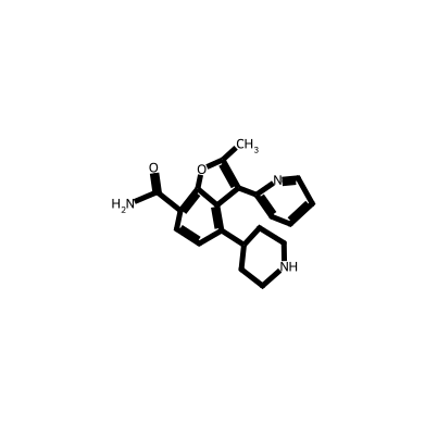 Cc1oc2c(C(N)=O)ccc(C3CCNCC3)c2c1-c1ccccn1